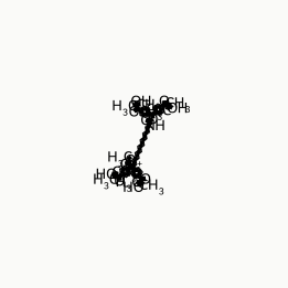 COC(=O)[N+](CCCCCCCCCCCCNC(=O)OC(c1ccc(C(=O)C(C)(C)O)cc1)c1ccc(C(=O)C(C)(C)O)cc1)(c1ccc(C(=O)C(C)(C)O)cc1)c1ccc(C(=O)C(C)(C)O)cc1